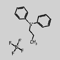 CCC[S+](c1ccccc1)c1ccccc1.F[B-](F)(F)F